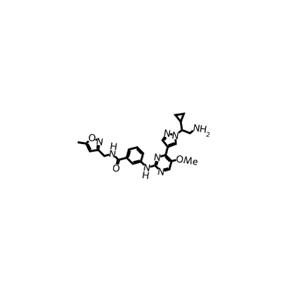 COc1cnc(Nc2cccc(C(=O)NCc3cc(C)on3)c2)nc1-c1cnn(C(CN)C2CC2)c1